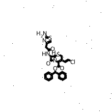 Nc1nc(CC(=O)NC2C(=O)N3C(C(=O)OC(c4ccccc4)c4ccccc4)=C(/C=C/Cl)CS[C@@H]23)cs1